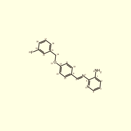 Nc1cccnc1N=Cc1ccc(OCc2cccc(F)c2)cc1